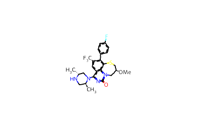 CO[C@@H]1CSc2c(-c3ccc(F)cc3)c(C(F)(F)F)cc3c(N4C[C@@H](C)NC[C@@H]4C)nc(=O)n(c23)C1